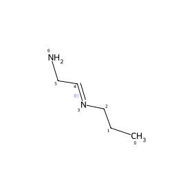 CCC/N=C/CN